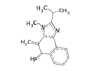 C=C1C(=P)c2ccccc2-c2nc(C(C)C)n(C)c21